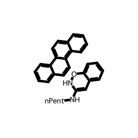 CCCCCNC1=Cc2ccccc2ON1.c1ccc2c(c1)ccc1c3ccccc3ccc21